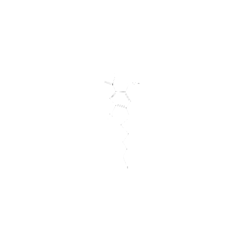 COc1cc(OCCCCCC(C)C)c([N+](=O)[O-])cc1C(=O)Cl